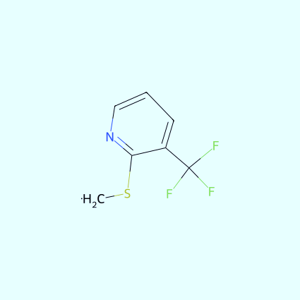 [CH2]Sc1ncccc1C(F)(F)F